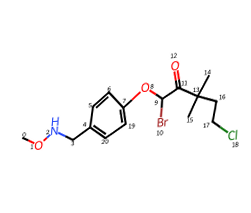 CONCc1ccc(OC(Br)C(=O)C(C)(C)CCCl)cc1